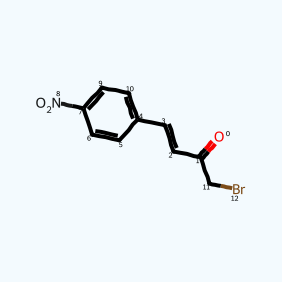 O=C(C=Cc1ccc([N+](=O)[O-])cc1)CBr